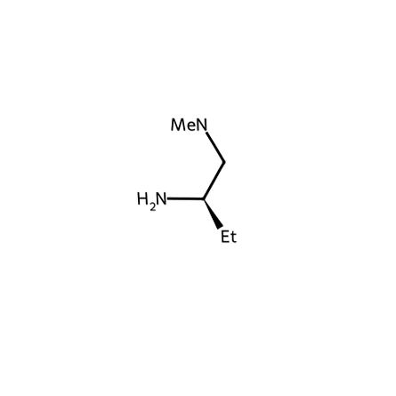 CC[C@@H](N)CNC